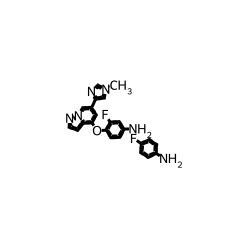 Cn1cnc(-c2cc(Oc3ccc(N)cc3F)c3ccnn3c2)c1.Nc1ccc(F)cc1